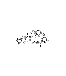 CNC(=O)c1cc(Oc2ccc3c(c2)CC(NC(=O)c2ccc4nsnc4c2)CC3)ccn1